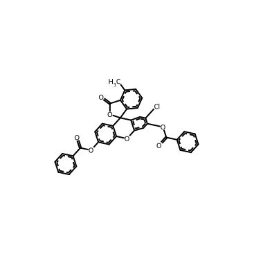 Cc1cccc2c1C(=O)OC21c2ccc(OC(=O)c3ccccc3)cc2Oc2cc(OC(=O)c3ccccc3)c(Cl)cc21